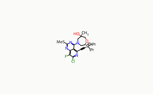 CSc1nc(N2CCOC[C@@](C)(O)C2)c2c(C#C[Si](C(C)C)(C(C)C)C(C)C)nc(Cl)c(F)c2n1